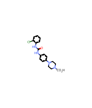 O=C(Nc1ccc(N2CCN(C(=O)O)CC2)cc1)Nc1ccccc1Cl